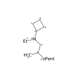 CCCCCC(C)CN(CC)C1CCC1